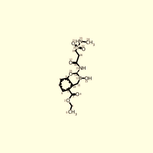 CCOC(=O)c1cccc2c1CB(O)[C@H](NC(=O)CCS(=O)(=O)NC)O2